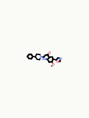 COc1cc2[nH]c(N3CCC(c4ccccc4)CC3)cc(=O)c2cc1-c1cnco1